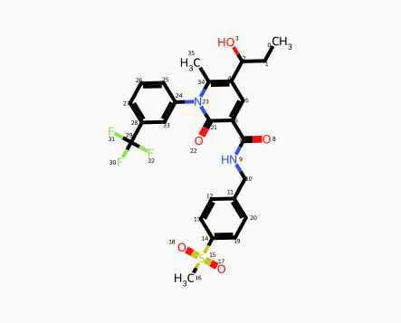 CCC(O)c1cc(C(=O)NCc2ccc(S(C)(=O)=O)cc2)c(=O)n(-c2cccc(C(F)(F)F)c2)c1C